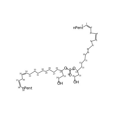 CCCCC/C=C\C/C=C\CCCCCCCCC(CCO)OC(=O)OC(CCO)CCCCCCCC/C=C\C/C=C\CCCCC